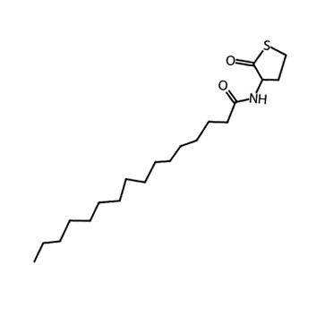 CCCCCCCCCCCCCCCC(=O)NC1CCSC1=O